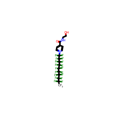 O=C(NCCO)c1cc[n+](C(F)(F)C(F)(F)C(F)(F)C(F)(F)C(F)(F)C(F)(F)C(F)(F)C(F)(F)C(F)(F)C(F)(F)F)cc1